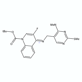 CNc1nc(SC)ncc1C/N=c1\c(F)cn(C(=O)OC(C)(C)C)c2ccccc12